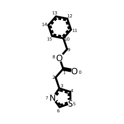 O=C(Cc1cscn1)OCc1ccccc1